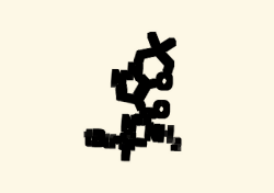 CC1(C)COc2c(S(N)(=O)=N[Si](C)(C)C(C)(C)C)cnn2C1